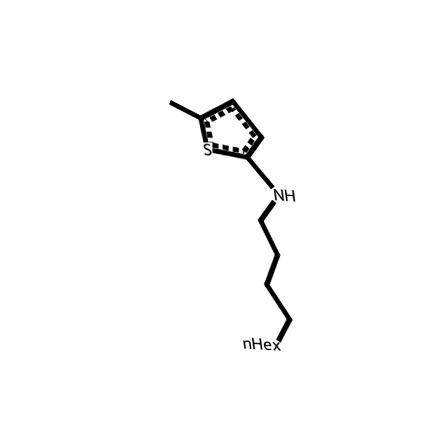 CCCCCCCCCCNc1ccc(C)s1